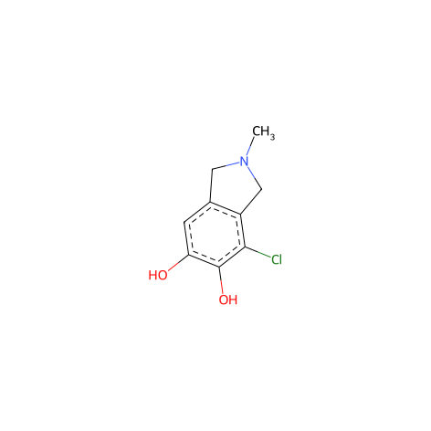 CN1Cc2cc(O)c(O)c(Cl)c2C1